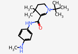 CNc1ccc(NC(=O)C2=CN(C(C)(C)C)CCC2(C)C)cc1